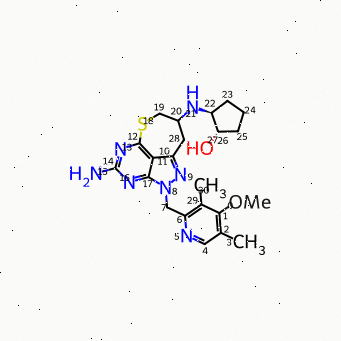 COc1c(C)cnc(Cn2nc3c4c(nc(N)nc42)SCC(N[C@H]2CCC[C@@H]2O)C3)c1C